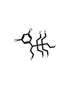 FCCC(c1cc(Cl)[c]c(Cl)c1)C(CCF)(CCF)C(CCF)(CCF)CCF